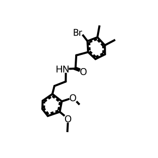 COc1cccc(CCNC(=O)Cc2ccc(C)c(C)c2Br)c1OC